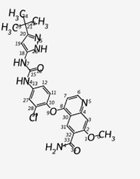 COc1cc2nccc(Oc3ccc(NC(=O)Nc4cc(C(C)(C)C)n[nH]4)cc3Cl)c2cc1C(N)=O